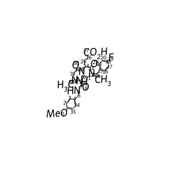 COc1ccc(CNC(=O)N2[C@H]3CN(C(C)c4ccc(F)cc4)C(=O)[C@H](CCC(=O)O)N3C(=O)CN2C)cc1